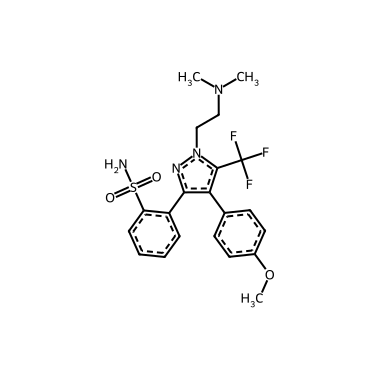 COc1ccc(-c2c(-c3ccccc3S(N)(=O)=O)nn(CCN(C)C)c2C(F)(F)F)cc1